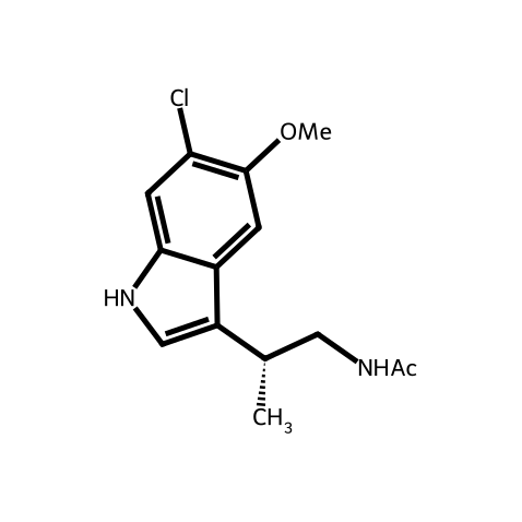 COc1cc2c([C@@H](C)CNC(C)=O)c[nH]c2cc1Cl